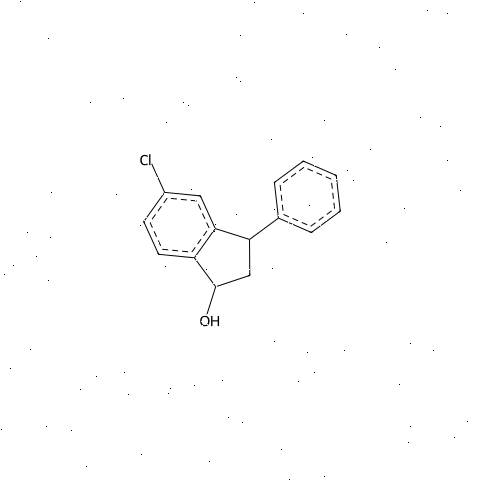 OC1CC(c2ccccc2)c2cc(Cl)ccc21